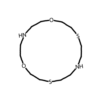 C1COCCSCCNCCSCCOCCN1